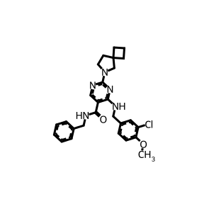 COc1ccc(CNc2nc(N3CCC4(CCC4)C3)ncc2C(=O)NCc2ccccc2)cc1Cl